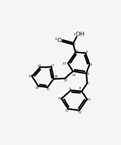 O=C(O)c1ccc(Cc2ccccc2)c(Cc2ccccc2)c1